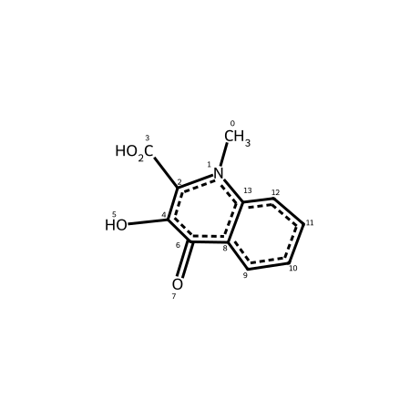 Cn1c(C(=O)O)c(O)c(=O)c2ccccc21